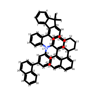 CC1(C)c2ccccc2-c2c(-c3ccccc3N(c3cccc(-c4cccc5ccccc45)c3)c3ccccc3-c3cccc4cccc(C5CCCCC5)c34)cccc21